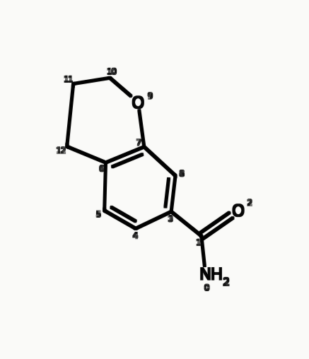 NC(=O)c1ccc2c(c1)OCCC2